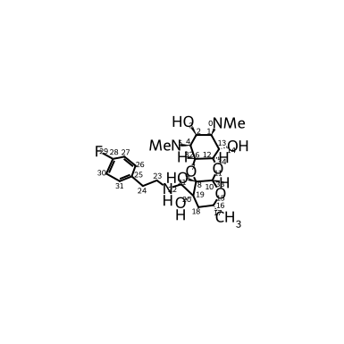 CN[C@@H]1[C@H](O)[C@H](NC)[C@H]2O[C@]3(O)[C@H](O[C@@H]2[C@H]1O)O[C@H](C)C[C@@]3(O)CNCCc1ccc(F)cc1